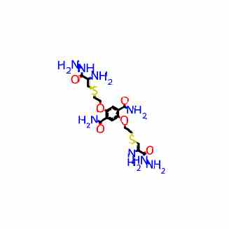 NNC(=O)C(N)CSCCOc1cc(C(N)=O)c(OCCSCC(N)C(=O)NN)cc1C(N)=O